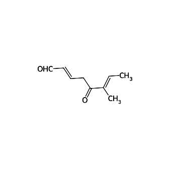 CC=C(C)C(=O)CC=CC=O